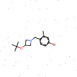 Cc1cc(Br)ccc1CN1CC(OC(C)(C)C)C1